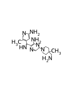 Cc1cnc(N)cc1C(=N)c1ncc(N2CCC(C)(CN)CC2)nc1N